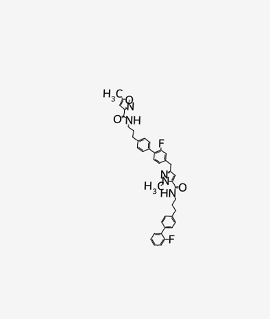 Cc1cc(C(=O)NCCCc2ccc(-c3ccc(Cc4cc(C(=O)NCCCc5ccc(-c6ccccc6F)cc5)n(C)n4)cc3F)cc2)no1